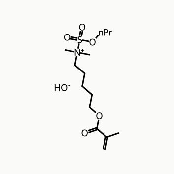 C=C(C)C(=O)OCCCCC[N+](C)(C)S(=O)(=O)OCCC.[OH-]